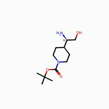 CC(C)(C)OC(=O)N1CCC([C@@H](N)CO)CC1